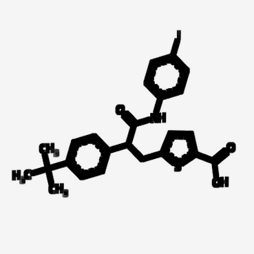 CC(C)(C)c1ccc(C(Cc2ccc(C(=O)O)s2)C(=O)Nc2ccc(I)cc2)cc1